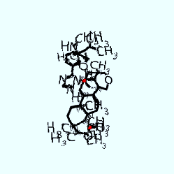 CN[C@@](C)(CO[C@H]1[C@H](n2ncnc2-c2cccnc2)C[C@@]23COC[C@]1(C)[C@H]2CC[C@H]1C3=CC[C@@]2(C)[C@H](C(=O)O)[C@@](C)([C@H](C)C(C)C)CC[C@]12C)C(C)C